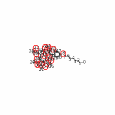 CCCCCCCCOc1ccc2c(O[C@@H]3O[C@H](COC(C)=O)[C@@H](OC(C)=O)[C@H](OC(C)=O)[C@H]3OC(C)=O)c(OC(C)=O)c(=O)oc2c1